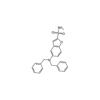 NS(=O)(=O)c1cc2cc(N(Cc3ccccc3)Cc3ccccc3)ccc2o1